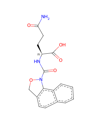 NC(=O)CC[C@H](NC(=O)N1OCc2ccc3ccccc3c21)C(=O)O